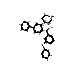 c1ccc(Oc2cccc(CO[C@H]3CNCC[C@@H]3c3cccc(-c4ccccc4)c3)c2)cc1